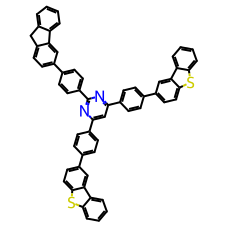 c1ccc2c(c1)Cc1ccc(-c3ccc(-c4nc(-c5ccc(-c6ccc7sc8ccccc8c7c6)cc5)cc(-c5ccc(-c6ccc7sc8ccccc8c7c6)cc5)n4)cc3)cc1-2